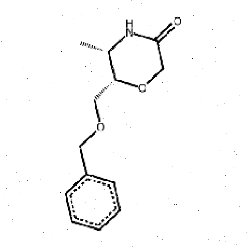 C[C@@H]1NC(=O)CO[C@@H]1COCc1ccccc1